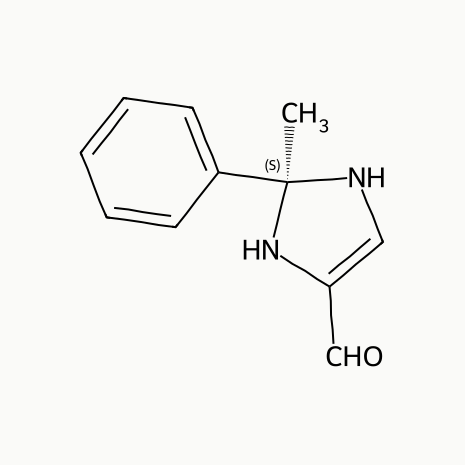 C[C@]1(c2ccccc2)NC=C(C=O)N1